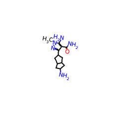 Cn1nc(C2CC3CC(N)CC3C2)c(C(N)=O)c1N